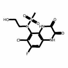 CS(=O)(=O)N(CCO)c1c(Cl)c(F)cc2[nH]c(=O)c(=O)[nH]c12